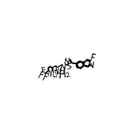 NC(CNc1ncc(-c2ccc3cnc(F)cc3c2)s1)Cc1ccc(C(F)(F)F)nc1Cl